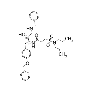 CCCN(CCC)S(=O)(=O)CCC(=O)N[C@@H](Cc1ccc(OCc2ccccc2)cc1)[C@H](O)CNCc1ccccc1